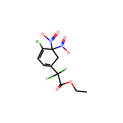 CCOC(=O)C(F)(F)C1=CC=C(Br)C([N+](=O)[O-])([N+](=O)[O-])C1